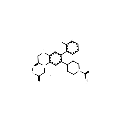 C[C@@H]1C(=O)NN=C2COc3cc(-c4ccccc4F)c(C4CCN(C(=O)O)CC4)cc3N21